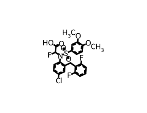 COc1ccc(S(=O)(=O)N(c2ccc(Cl)cc2Cc2c(F)cccc2F)C(F)C(=O)O)cc1OC